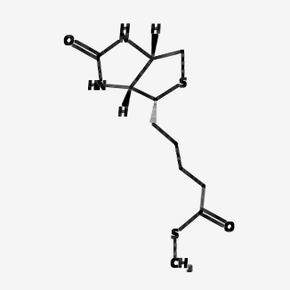 CSC(=O)CCCC[C@H]1SC[C@H]2NC(=O)N[C@H]21